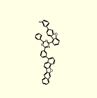 Cc1cccc(-c2ccc3c(c2)oc2cccc(-c4nc(-c5ccccc5)nc(-c5cccc(-c6cccc7c6ccc6c8cc9ccccc9cc8oc76)c5)n4)c23)c1